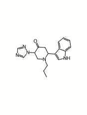 CCCN1CC(n2cncn2)C(=O)CC1c1c[nH]c2ccccc12